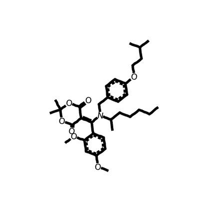 CCCCCC(C)N(Cc1ccc(OCCC(C)C)cc1)C(=C1C(=O)OC(C)(C)OC1=O)c1ccc(OC)cc1OC